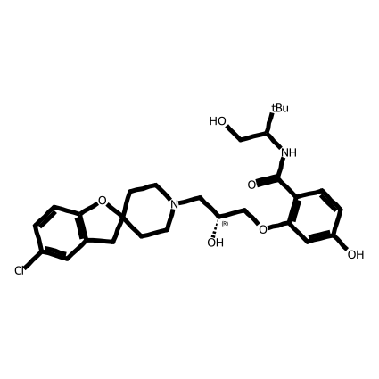 CC(C)(C)C(CO)NC(=O)c1ccc(O)cc1OC[C@H](O)CN1CCC2(CC1)Cc1cc(Cl)ccc1O2